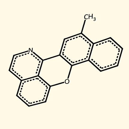 Cc1cc2c(c3ccccc13)Oc1cccc3ccnc-2c13